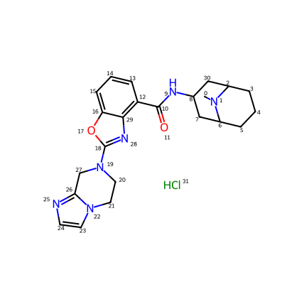 CN1C2CCCC1CC(NC(=O)c1cccc3oc(N4CCn5ccnc5C4)nc13)C2.Cl